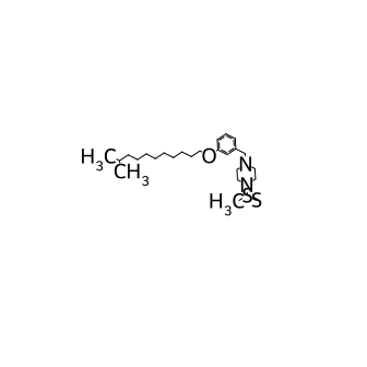 CC(C)CCCCCCCCCOc1cccc(CN2CCN(S(C)=S)CC2)c1